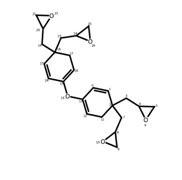 C1=CC(CC2CO2)(CC2CO2)CC=C1OC1=CCC(CC2CO2)(CC2CO2)C=C1